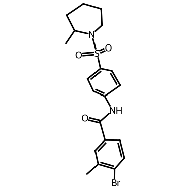 Cc1cc(C(=O)Nc2ccc(S(=O)(=O)N3CCCCC3C)cc2)ccc1Br